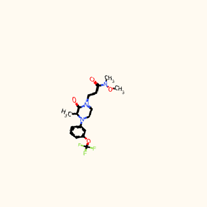 CON(C)C(=O)CCN1CCN(c2cccc(OC(F)(F)F)c2)C(C)C1=O